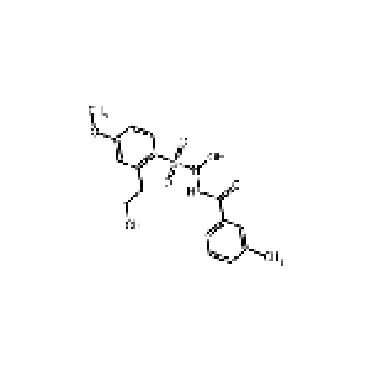 COc1ccc(S(=O)(=O)N(O)NC(=O)c2cccc(C)c2)c(CCO)c1